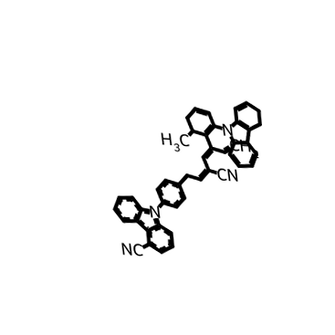 C=C/C(=C\C(C#N)=C/Cc1ccc(-n2c3ccccc3c3c(C#N)cccc32)cc1)C1=C(N2C3=C(CCC=C3)C3C=CC=CC32)C=CCC1C